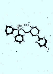 CC(C)(C)[Si](OCC1CN(c2ncc(Br)cn2)CCN1C(=O)O)(c1ccccc1)c1ccccc1